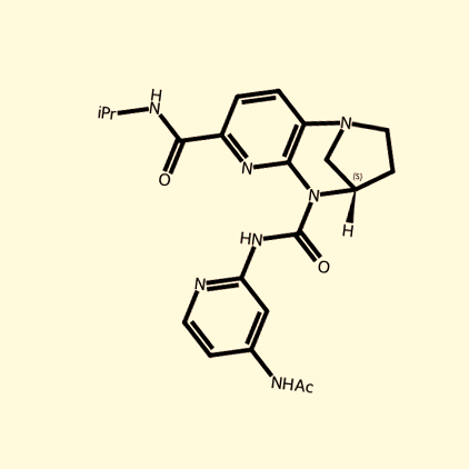 CC(=O)Nc1ccnc(NC(=O)N2c3nc(C(=O)NC(C)C)ccc3N3CC[C@H]2C3)c1